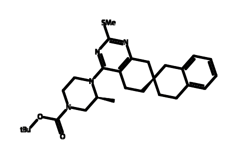 CSc1nc2c(c(N3CCN(C(=O)OC(C)(C)C)C[C@@H]3C)n1)CC[C@@]1(CCc3ccccc3C1)C2